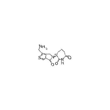 NCc1scc2c1CN([C@H]1CCCC(=O)NC1=O)C2=O